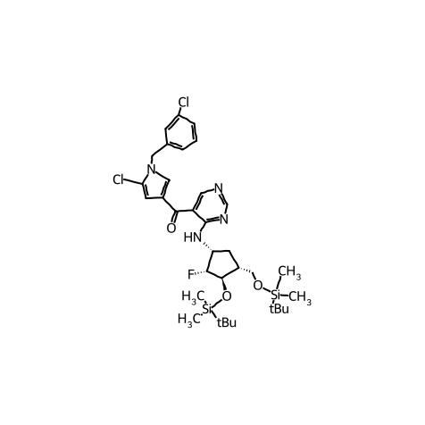 CC(C)(C)[Si](C)(C)OC[C@H]1C[C@@H](Nc2ncncc2C(=O)c2cc(Cl)n(Cc3cccc(Cl)c3)c2)[C@@H](F)[C@@H]1O[Si](C)(C)C(C)(C)C